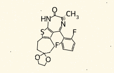 C[C@@H]1N=C(c2c(F)cccc2F)c2c(sc3c2CCC2(CC3)OCCO2)NC1=O